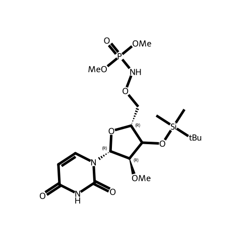 CO[C@@H]1C(O[Si](C)(C)C(C)(C)C)[C@@H](CONP(=O)(OC)OC)O[C@H]1n1ccc(=O)[nH]c1=O